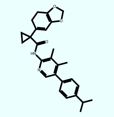 Cc1c(-c2ccc(C(C)C)cc2)cnc(NC(=O)C2(C3=CC4=C(CC3)OCO4)CC2)c1C